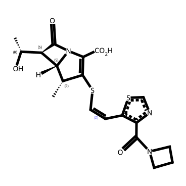 C[C@@H](O)[C@H]1C(=O)N2C(C(=O)O)=C(S/C=C\c3scnc3C(=O)N3CCC3)[C@H](C)[C@H]12